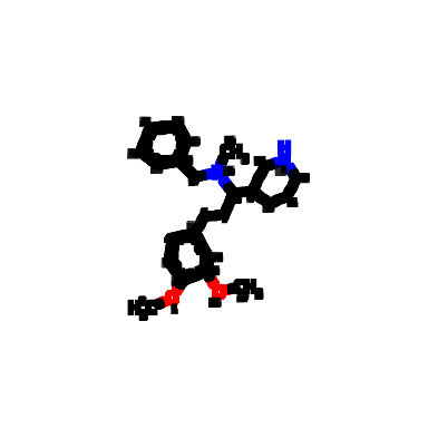 COc1ccc(CCC(C2CCCNC2)N(C)Cc2ccccc2)cc1OC